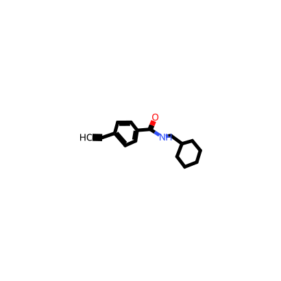 C#Cc1ccc(C(=O)NCC2CCCCC2)cc1